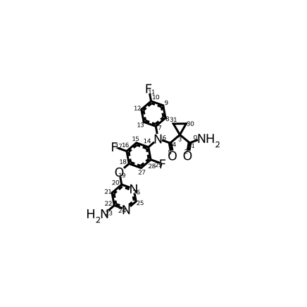 NC(=O)C1(C(=O)N(c2ccc(F)cc2)c2cc(F)c(Oc3cc(N)ncn3)cc2F)CC1